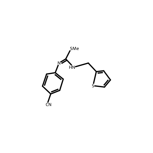 CSC(=Nc1ccc(C#N)cc1)NCc1cccs1